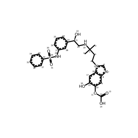 CC(C)(CCn1cnc2cc(OC(=O)O)c(O)cc21)NC[C@H](O)c1cccc(NS(=O)(=O)c2ccccc2)c1